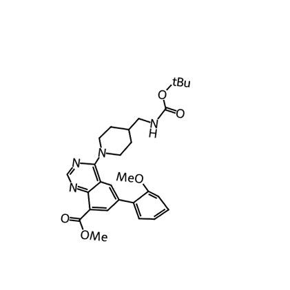 COC(=O)c1cc(-c2ccccc2OC)cc2c(N3CCC(CNC(=O)OC(C)(C)C)CC3)ncnc12